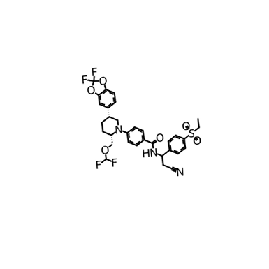 CCS(=O)(=O)c1ccc(C(CC#N)NC(=O)c2ccc(N3C[C@@H](c4ccc5c(c4)OC(F)(F)O5)CC[C@H]3COC(F)F)cc2)cc1